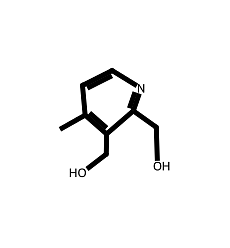 Cc1ccnc(CO)c1CO